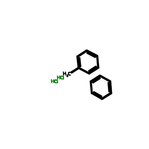 Cc1ccccc1.Cl.Cl.c1ccccc1